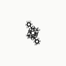 CC1(C)O[C@@H]2[C@@H](OC(=O)c3ccccc3)[C@H]3OC(C)(C)O[C@H]3[C@H](OC(=O)c3ccccc3)[C@H]2O1